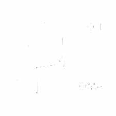 CON1C(O)CCC12CO2